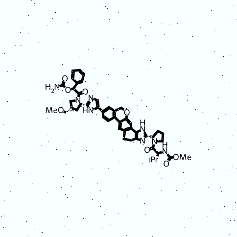 COC[C@H]1C[C@@H](c2ncc(-c3ccc4c(c3)COc3cc5c(cc3-4)CCc3nc([C@@H]4CCCN4C(=O)C(NC(=O)OC)C(C)C)[nH]c3-5)[nH]2)N(C(=O)C(OC(N)=O)c2ccccc2)C1